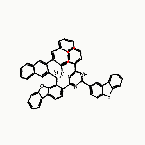 Cc1cc2ccccc2cc1-c1cc2ccccc2cc1Cc1c(C2=NC(c3ccc4sc5ccccc5c4c3)NC(c3ccccc3)=N2)ccc2c1oc1ccccc12